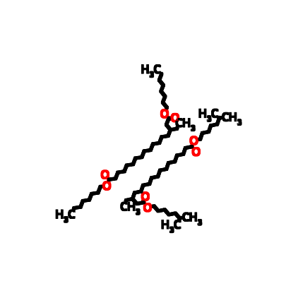 CCC(CCCCCCCCCCCCCC(=O)OCCCCCC(C)C)CC(=O)OCCCCCC(C)C.CCCCCCCCOC(=O)CCCCCCCCCCCCCC(CC)CC(=O)OCCCCCCCC